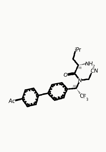 CC(=O)c1ccc(-c2ccc([C@H](N(CC#N)C(=O)[C@@H](N)CC(C)C)C(F)(F)F)cc2)cc1